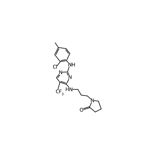 Cc1ccc(Nc2ncc(C(F)(F)F)c(NCCCN3CCCC3=O)n2)c(Cl)c1